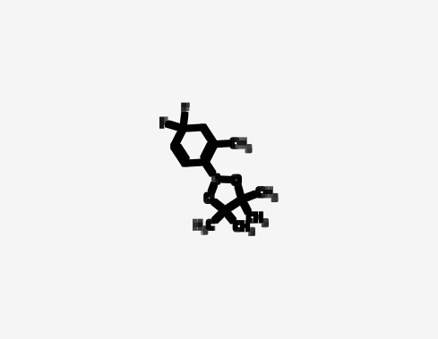 CC1=C(B2OC(C)(C)C(C)(C)O2)C=CC(F)(F)C1